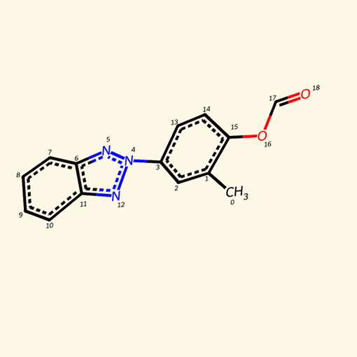 Cc1cc(-n2nc3ccccc3n2)ccc1OC=O